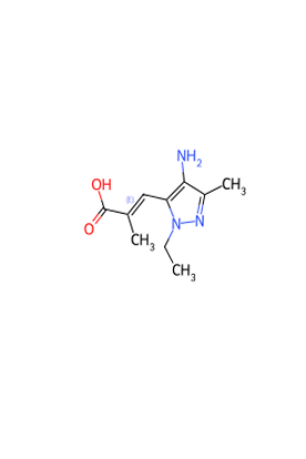 CCn1nc(C)c(N)c1/C=C(\C)C(=O)O